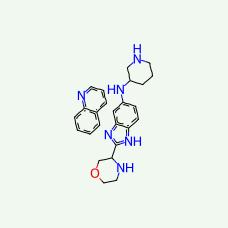 c1cc2[nH]c(C3COCCN3)nc2cc1NC1CCCNC1.c1ccc2ncccc2c1